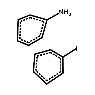 Ic1ccccc1.Nc1ccccc1